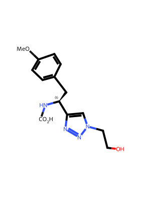 COc1ccc(C[C@H](NC(=O)O)c2cn(CCO)nn2)cc1